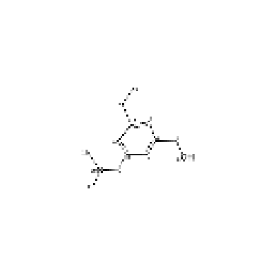 CCc1cc(CO)cc(CN(C)C)c1